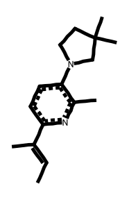 CC=C(C)c1ccc(N2CCC(C)(C)C2)c(C)n1